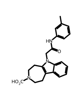 Cc1cccc(NC(=O)Cn2c3c(c4ccccc42)CCN(C(=O)O)CC3)c1